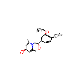 COc1ccc(C(=O)Cn2c(C)cc(=O)cc2C)cc1OC(C)C